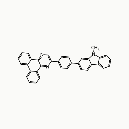 Cn1c2ccccc2c2ccc(-c3ccc(-c4cnc5c6ccccc6c6ccccc6c5n4)cc3)cc21